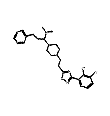 CN(C)C(CCc1ccccc1)C1CCC(CCc2nc(-c3cccc(Cl)c3Cl)no2)CC1